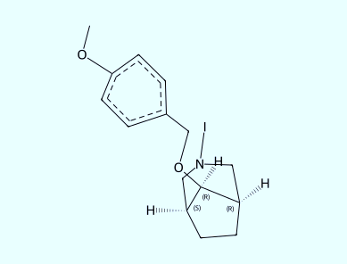 COc1ccc(CO[C@H]2[C@@H]3CC[C@H]2CN(I)C3)cc1